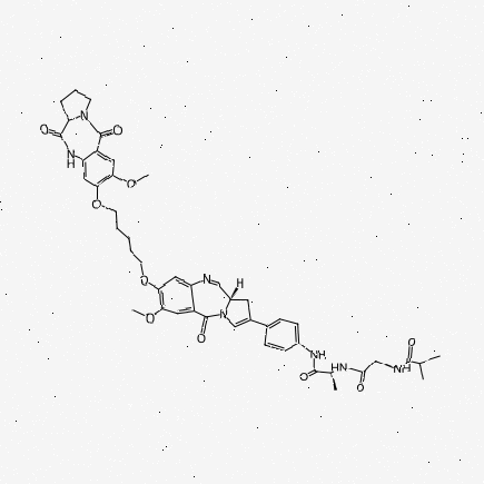 COc1cc2c(cc1OCCCCCOc1cc3c(cc1OC)C(=O)N1CCCC1C(=O)N3)N=C[C@@H]1CC(c3ccc(NC(=O)[C@H](C)NC(=O)CNC(=O)C(C)C)cc3)=CN1C2=O